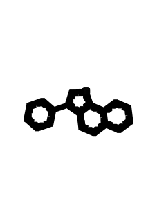 c1ccc(-c2coc3c2ccc2ccccc23)cc1